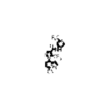 N#Cc1ccc(-n2ncc(C(=O)Nc3ccnc(C(F)(F)F)c3)c2C(F)(F)F)c2ccnn12